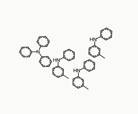 Cc1cccc(Nc2ccccc2)c1.Cc1cccc(Nc2ccccc2)c1.Cc1cccc(Nc2ccccc2)c1.c1ccc(N(c2ccccc2)c2ccccc2)cc1